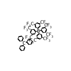 FC(F)(F)c1cc([B-](c2cc(C(F)(F)F)cc(C(F)(F)F)c2)(c2cc(C(F)(F)F)cc(C(F)(F)F)c2)c2cc(C(F)(F)F)cc(C(F)(F)F)c2)cc(C(F)(F)F)c1.c1ccc([C+](c2ccccc2)c2ccccc2)cc1